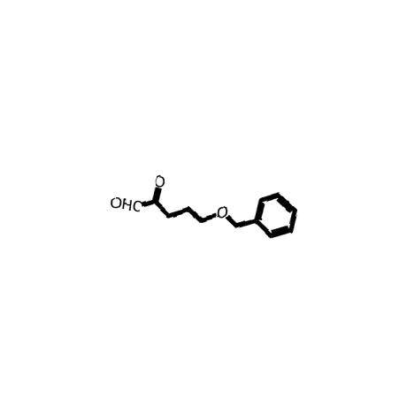 O=CC(=O)CCCOCc1ccccc1